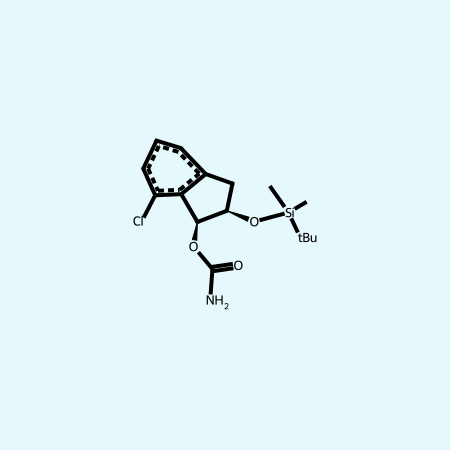 CC(C)(C)[Si](C)(C)O[C@@H]1Cc2cccc(Cl)c2[C@@H]1OC(N)=O